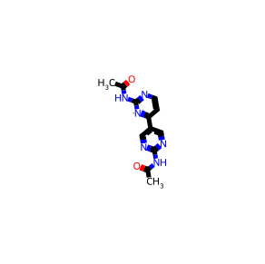 CC(=O)NC1=NC=CC(c2cnc(NC(C)=O)nc2)=[N+]1